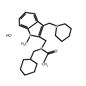 CC(=O)N(Cc1c(CN2CCCCC2)c2ccccc2n1C)CC1CCCCC1.Cl